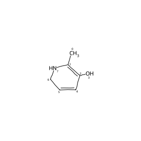 CC1=C(O)C=CCN1